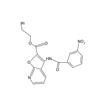 CC(C)CCOC(=O)c1oc2ncccc2c1NC(=O)c1cccc([N+](=O)[O-])c1